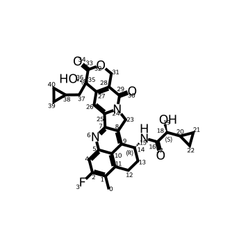 Cc1c(F)cc2nc3c(c4c2c1CC[C@H]4NC(=O)[C@@H](O)C1CC1)Cn1c-3cc2c(c1=O)COC(=O)[C@]2(O)CC1CC1